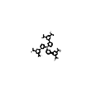 CC(=O)c1cc(C(C)=O)cc(-c2cccc(N(c3cccc(-c4cc(C(C)=O)cc(C(C)=O)c4)c3)c3cccc(-c4cc(C(C)=O)cc(C(C)=O)c4)c3)c2)c1